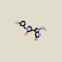 Cn1cc(-c2ccn(Cc3cccc(Cl)c3)c(=O)c2)c2cc(Br)cnc21